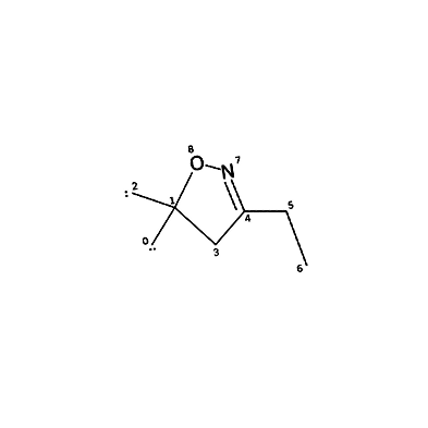 [CH]C1([CH])CC(CC)=NO1